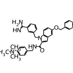 C[N+](C)(C)c1ccc(CNC(=O)c2cc3cc(OCc4ccccc4)ccc3n2Cc2cccc(C(=N)N)c2)cc1